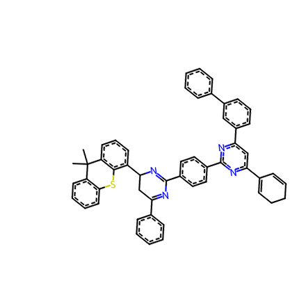 CC1(C)c2ccccc2Sc2c(C3CC(c4ccccc4)=NC(c4ccc(-c5nc(C6=CCCC=C6)cc(-c6cccc(-c7ccccc7)c6)n5)cc4)=N3)cccc21